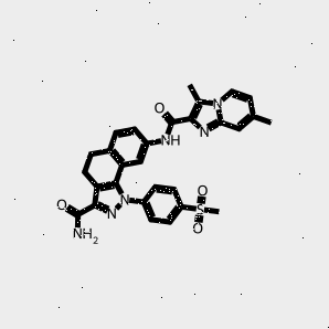 Cc1ccn2c(C)c(C(=O)Nc3ccc4c(c3)-c3c(c(C(N)=O)nn3-c3ccc(S(C)(=O)=O)cc3)CC4)nc2c1